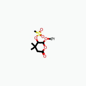 CC(C)OC1OC(=O)CC(C)(C)C1OS(C)(=O)=O